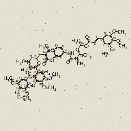 COc1cc(C=CC(=O)OC(C)OC(C)N(C)C(=O)Nc2ccc3c(C)c(CC(CN(C)C(C)OC(C)OC(=O)c4cc(OC)c(OC)c(OC)c4)OC(=O)c4cc(OC)c(OC)c(OC)c4)c(=O)oc3c2)cc(OC)c1OC